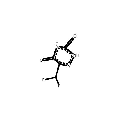 O=c1[nH]nc(C(F)F)c(=O)[nH]1